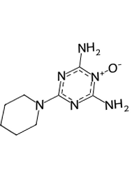 Nc1nc(N2CCCCC2)nc(N)[n+]1[O-]